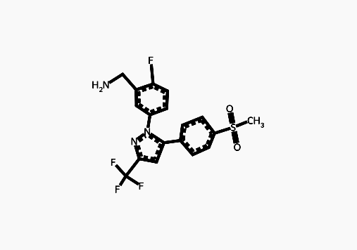 CS(=O)(=O)c1ccc(-c2cc(C(F)(F)F)nn2-c2ccc(F)c(CN)c2)cc1